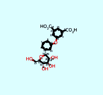 O=C(O)c1cc(Oc2cccc([C@H]3O[C@H](CO)[C@@H](O)[C@H](O)[C@H]3O)c2)cc(C(=O)O)c1